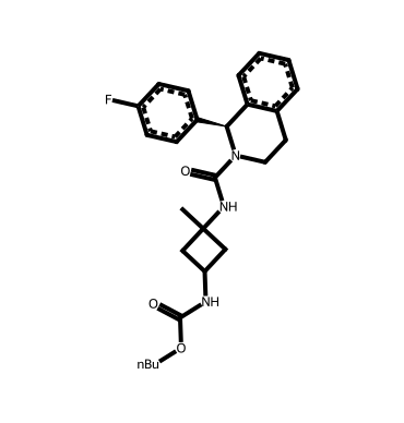 CCCCOC(=O)NC1CC(C)(NC(=O)N2CCc3ccccc3[C@@H]2c2ccc(F)cc2)C1